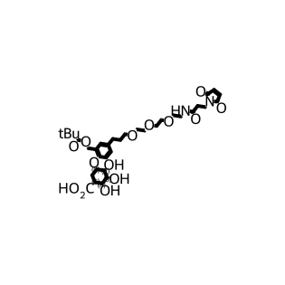 CC(C)(C)C(=O)OCc1cc(CCCOCCOCCOCCNC(=O)CCN2C(=O)C=CC2=O)ccc1O[C@@H]1C[C@H](C(=O)O)[C@@H](O)[C@H](O)[C@H]1O